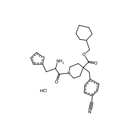 Cl.N#Cc1ccc(CC2(C(=O)OCC3CCCCC3)CCN(C(=O)C(N)Cc3cccs3)CC2)cc1